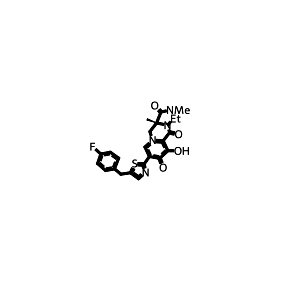 CCN1C(=O)c2c(O)c(=O)c(-c3ncc(Cc4ccc(F)cc4)s3)cn2C[C@]1(C)C(=O)NC